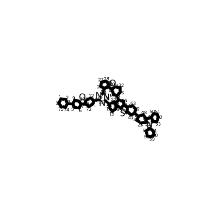 c1ccc(-c2ccc3c(c2)oc2cc(-c4nc(-c5ccccc5)nc(-c5cccc6oc7ccc(-c8ccc9sc%10cc(-c%11ccc%12c(c%11)c%11ccccc%11n%12-c%11ccccc%11)ccc%10c9c8)cc7c56)n4)ccc23)cc1